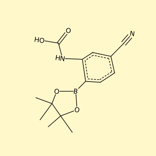 CC1(C)OB(c2ccc(C#N)cc2NC(=O)O)OC1(C)C